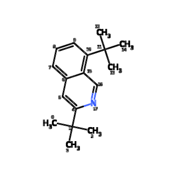 CC(C)(C)c1cc2cccc(C(C)(C)C)c2cn1